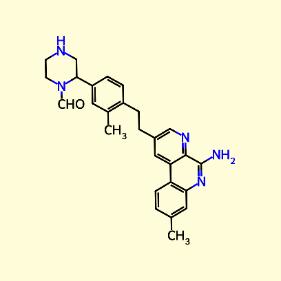 Cc1ccc2c(c1)nc(N)c1ncc(CCc3ccc(C4CNCCN4C=O)cc3C)cc12